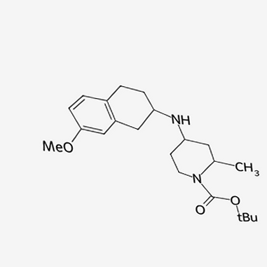 COc1ccc2c(c1)CC(NC1CCN(C(=O)OC(C)(C)C)C(C)C1)CC2